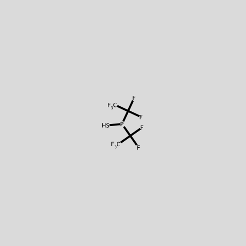 FC(F)(F)C(F)(F)P(S)C(F)(F)C(F)(F)F